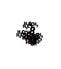 Cc1ccc(P(O)(O)(O)c2cc3ccc(C(C)(C)C)cc3cc2C(C)(C)C)c(C(C)(C)C)c1-c1cc2ccc(C(C)(C)C)cc2cc1C(C)(C)C